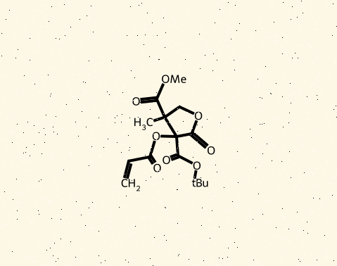 C=CC(=O)OC1(C(=O)OC(C)(C)C)C(=O)OCC1(C)C(=O)OC